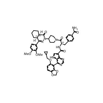 COc1ccc(C2=NN(C3CCN(C(=O)[C@@H](Cc4ccc(C(N)=O)cc4)NC(=O)c4c[nH]c5c(-c6c(OCC7CC7)ccc7c6OCO7)ncnc45)CC3)C(=O)[C@@H]3CCCC[C@H]23)cc1OC